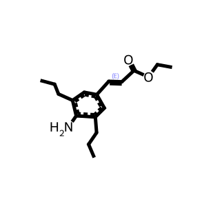 CCCc1cc(/C=C/C(=O)OCC)cc(CCC)c1N